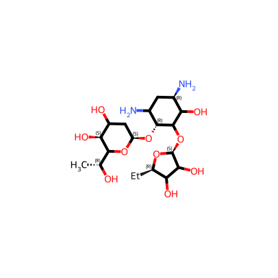 CC[C@H]1O[C@@H](OC2C(O)[C@H](N)CC(N)[C@H]2O[C@@H]2CC(O)[C@H](O)C([C@@H](C)O)O2)C(O)C1O